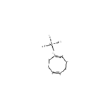 C1=CCCC=CCC1.F[B-](F)(F)F